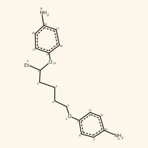 CCC(CCCCOc1ccc(N)cc1)Oc1ccc(N)cc1